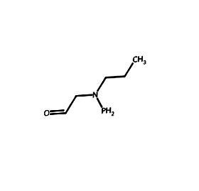 CCCN(P)CC=O